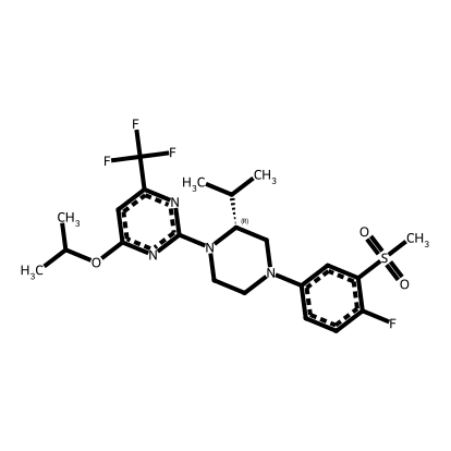 CC(C)Oc1cc(C(F)(F)F)nc(N2CCN(c3ccc(F)c(S(C)(=O)=O)c3)C[C@H]2C(C)C)n1